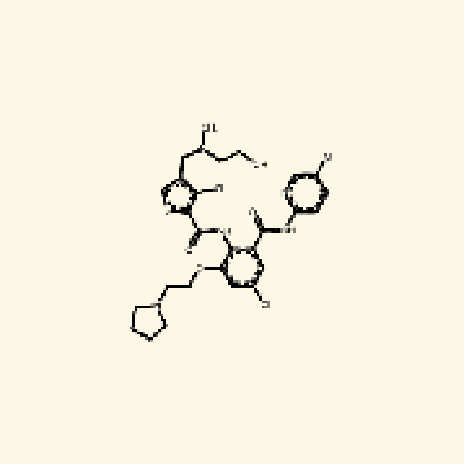 CN(CCO)Cc1csc(C(=O)Nc2c(OCCN3CCCC3)cc(Cl)cc2C(=O)Nc2ccc(Cl)cn2)c1Cl